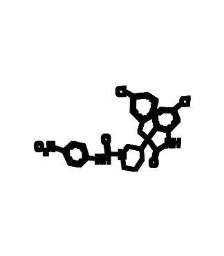 O=C(Nc1ccc([N+](=O)[O-])cc1)N1CCCC(C2(Cc3cccc(Cl)c3)C(=O)Nc3cc(Cl)ccc32)C1